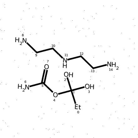 CCC(O)(O)OC(N)=O.NCCNCCN